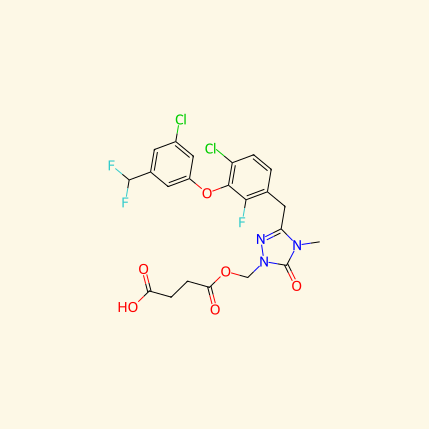 Cn1c(Cc2ccc(Cl)c(Oc3cc(Cl)cc(C(F)F)c3)c2F)nn(COC(=O)CCC(=O)O)c1=O